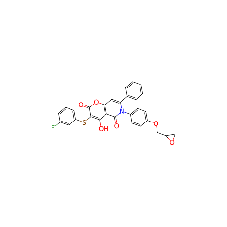 O=c1oc2cc(-c3ccccc3)n(-c3ccc(OCC4CO4)cc3)c(=O)c2c(O)c1Sc1cccc(F)c1